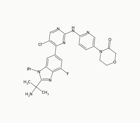 CC(C)n1c(C(C)(C)N)nc2c(F)cc(-c3nc(Nc4ccc(N5CCOCC5=O)cn4)ncc3Cl)cc21